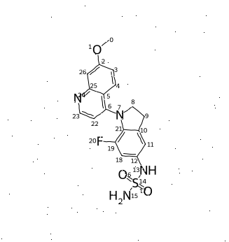 COc1ccc2c(N3CCc4cc(NS(N)(=O)=O)cc(F)c43)ccnc2c1